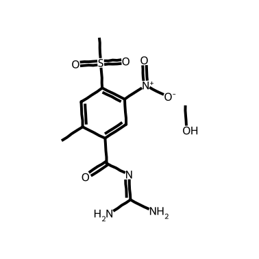 CO.Cc1cc(S(C)(=O)=O)c([N+](=O)[O-])cc1C(=O)N=C(N)N